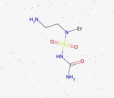 CCN(CCN)S(=O)(=O)NC(N)=O